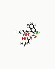 CCC(O)COC(=O)c1c(Br)cc2ccccc2c1OCC(O)CC